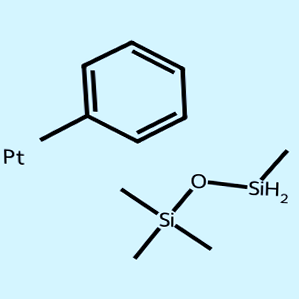 C[SiH2]O[Si](C)(C)C.Cc1ccccc1.[Pt]